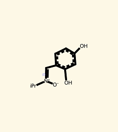 CC(C)/[N+]([O-])=C/c1ccc(O)cc1O